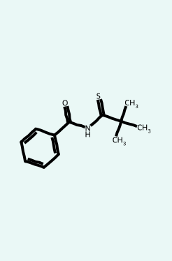 CC(C)(C)C(=S)NC(=O)c1ccccc1